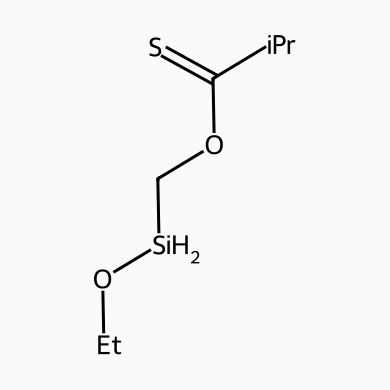 CCO[SiH2]COC(=S)C(C)C